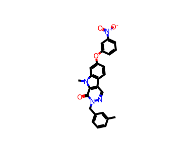 Cc1cccc(Cn2ncc3c4ccc(Oc5cccc([N+](=O)[O-])c5)cc4n(C)c3c2=O)c1